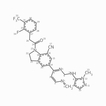 C=N/C=C\C(=N/CNc1ccnn1C)c1cc(C#N)c2c(c1)CCN2C(=O)Cc1cccc(C(F)(F)F)c1F